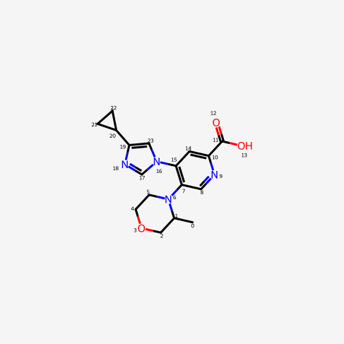 CC1COCCN1c1cnc(C(=O)O)cc1-n1cnc(C2CC2)c1